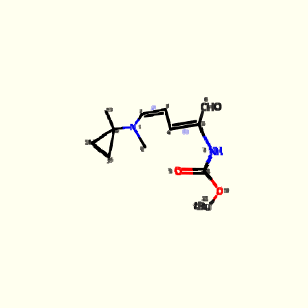 CN(/C=C\C=C(/C=O)NC(=O)OC(C)(C)C)C1(C)CC1